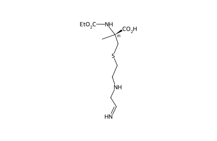 CCOC(=O)N[C@@](C)(CSCCNCC=N)C(=O)O